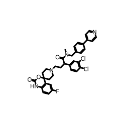 CN(Cc1ccc(-c2ccncc2)cc1)C(=O)C(CCN1CCC2(CC1)OC(=O)Nc1ccc(F)cc12)c1ccc(Cl)c(Cl)c1